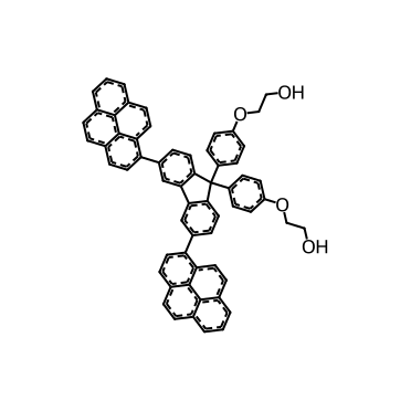 OCCOc1ccc(C2(c3ccc(OCCO)cc3)c3ccc(-c4ccc5ccc6cccc7ccc4c5c67)cc3-c3cc(-c4ccc5ccc6cccc7ccc4c5c67)ccc32)cc1